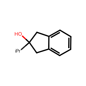 CC(C)C1(O)Cc2ccccc2C1